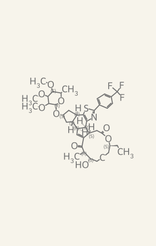 CC[C@H]1CCC[C@H](O)[C@@H](C)C(=O)C2=C[C@H]3[C@@H]4C[C@H](O[C@@H]5OC(C)[C@H](OC)C(OC)C5OC)C[C@H]4c4sc(-c5ccc(C(F)(F)F)cc5)nc4[C@H]3[C@@H]2CC(=O)O1